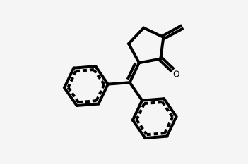 C=C1CCC(=C(c2ccccc2)c2ccccc2)C1=O